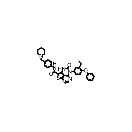 O=C(Nc1ccc(CN2CCCCC2)cc1)c1sc2ncnc3c2c1NC(=O)N3c1ccc(Oc2ccccc2)c(CI)c1